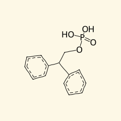 O=P(O)(O)OCC(c1ccccc1)c1ccccc1